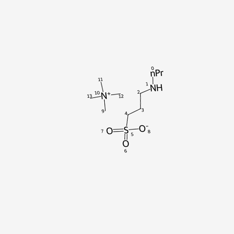 CCCNCCCS(=O)(=O)[O-].C[N+](C)(C)C